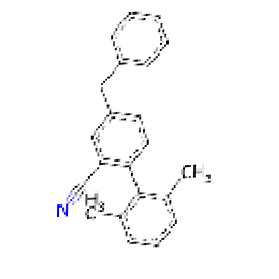 Cc1cccc(C)c1-c1ccc(Cc2ccccc2)cc1C#N